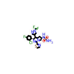 NS(=O)(=O)N[C@H]1CC2=C(c3cnn(C(F)F)c3)[C@H](c3ccc(F)cc3Cl)N=C(c3nccs3)N2C1